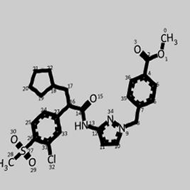 COC(=O)c1ccc(Cn2ccc(NC(=O)C(CC3CCCC3)c3ccc(S(C)(=O)=O)c(Cl)c3)n2)cc1